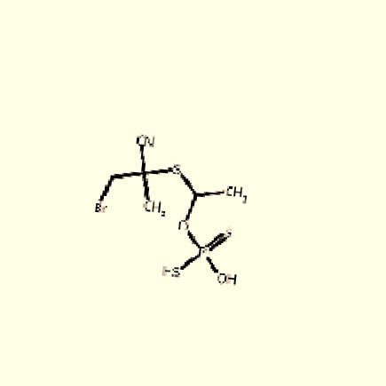 CC(OP(O)(=S)S)SC(C)(C#N)CBr